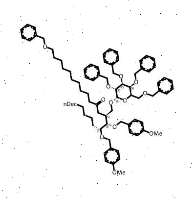 CCCCCCCCCCCCCC[C@@H](OCc1ccc(OC)cc1)[C@@H](OCc1ccc(OC)cc1)[C@H](CO[C@H]1OC(COCc2ccccc2)[C@H](OCc2ccccc2)[C@H](OCc2ccccc2)[C@H]1OCc1ccccc1)CC(=O)CCCCCCCCCCOCc1ccccc1